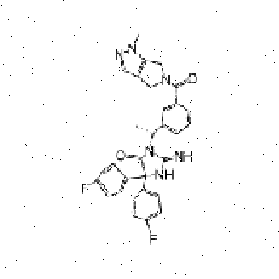 C[C@H](c1cccc(C(=O)N2Cc3cnn(C)c3C2)c1)N1C(=N)NC(c2ccc(F)cc2)(c2ccc(F)cc2)C1=O